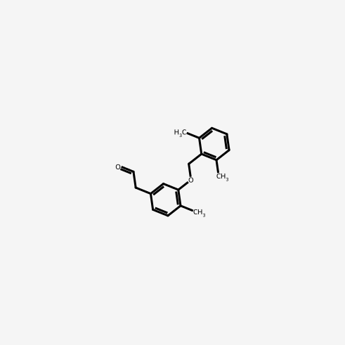 Cc1ccc(CC=O)cc1OCc1c(C)cccc1C